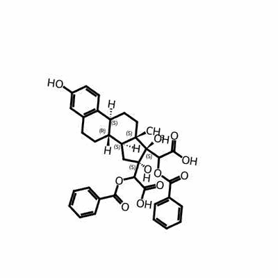 C[C@]12CC[C@@H]3c4ccc(O)cc4CC[C@H]3[C@@H]1C[C@](O)(C(OC(=O)c1ccccc1)C(=O)O)[C@@]2(O)C(OC(=O)c1ccccc1)C(=O)O